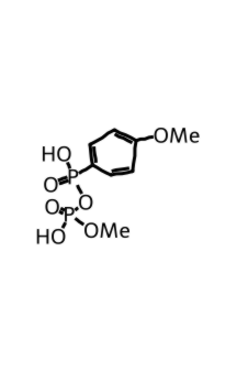 COc1ccc(P(=O)(O)OP(=O)(O)OC)cc1